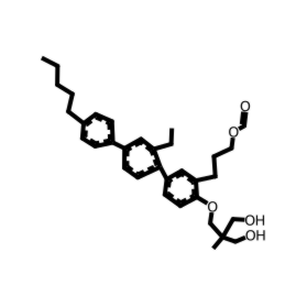 CCCCCc1ccc(-c2ccc(-c3ccc(OCC(C)(CO)CO)c(CCCOC=O)c3)c(CC)c2)cc1